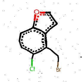 Clc1ccc2occc2c1CBr